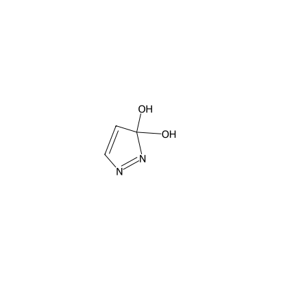 OC1(O)C=CN=N1